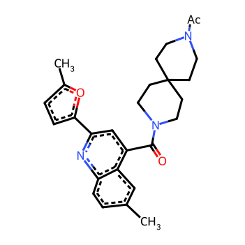 CC(=O)N1CCC2(CC1)CCN(C(=O)c1cc(-c3ccc(C)o3)nc3ccc(C)cc13)CC2